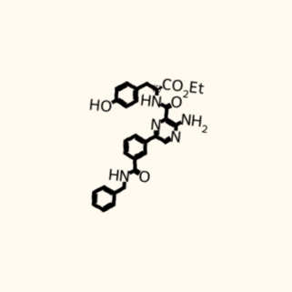 CCOC(=O)[C@H](Cc1ccc(O)cc1)NC(=O)c1nc(-c2cccc(C(=O)NCc3ccccc3)c2)cnc1N